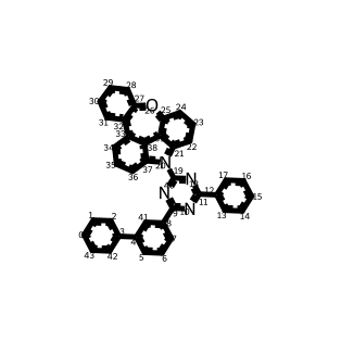 c1ccc(-c2cccc(-c3nc(-c4ccccc4)nc(-n4c5cccc6oc7ccccc7c7cccc4c7c65)n3)c2)cc1